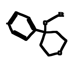 CCOC1(c2cc[c]cc2)CCOCC1